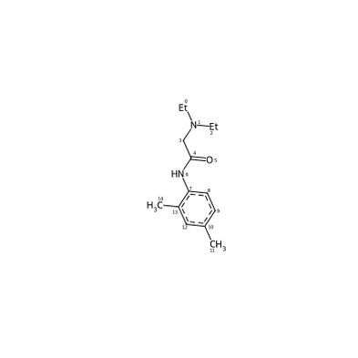 CCN(CC)CC(=O)Nc1ccc(C)cc1C